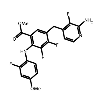 COC(=O)c1cc(Cc2ccnc(N)c2F)c(F)c(F)c1Nc1ccc(OC)cc1F